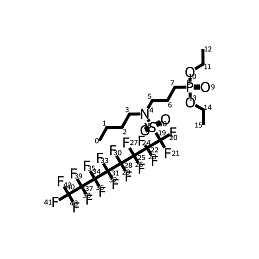 CCCCN(CCCP(=O)(OCC)OCC)S(=O)(=O)C(F)(F)C(F)(F)C(F)(F)C(F)(F)C(F)(F)C(F)(F)C(F)(F)C(F)(F)F